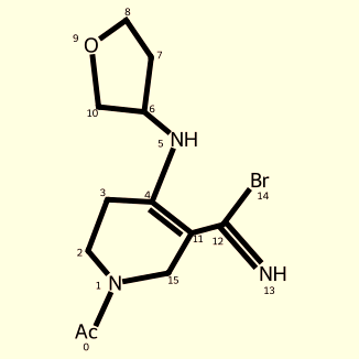 CC(=O)N1CCC(NC2CCOC2)=C(C(=N)Br)C1